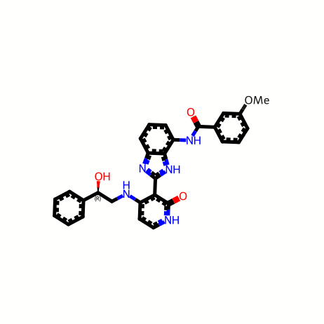 COc1cccc(C(=O)Nc2cccc3nc(-c4c(NC[C@H](O)c5ccccc5)cc[nH]c4=O)[nH]c23)c1